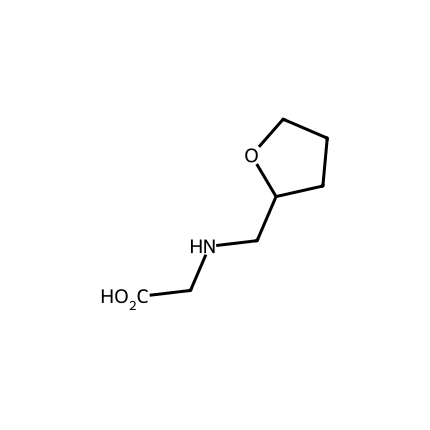 O=C(O)CNCC1CCCO1